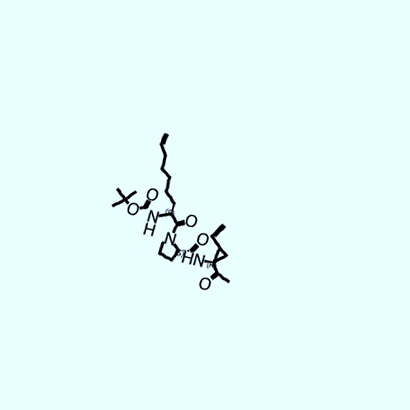 C=CCCCCC[C@H](NC(=O)OC(C)(C)C)C(=O)N1CCC[C@H]1C(=O)N[C@]1(C(C)=O)CC1C=C